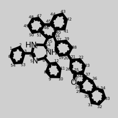 c1ccc(C2=NC(c3ccccc3)NC(c3c(-c4ccc(-c5ccc6c(c5)oc5cc7ccccc7cc56)cc4)c4ccccc4c4ccccc34)N2)cc1